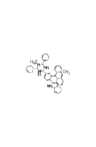 CN1C(C2=CCCC=C2)NC(C2=CCC(C3=CC4CCC=CC4N3)C(C3C4C=CC=CC4=CC4(C)C=CC=CC34)C2)NC1C1C=CC=CC1